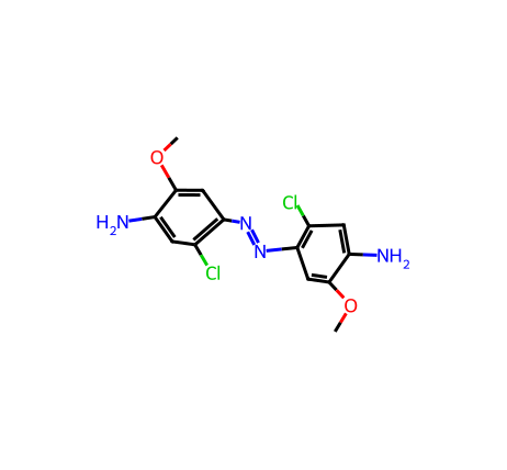 COc1cc(N=Nc2cc(OC)c(N)cc2Cl)c(Cl)cc1N